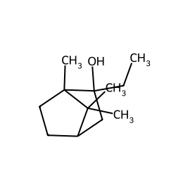 CCC1(O)CC2CCC1(C)C2(C)C